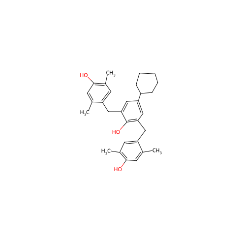 Cc1cc(Cc2cc(C3CCCCC3)cc(Cc3cc(C)c(O)cc3C)c2O)c(C)cc1O